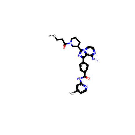 COCCC(=O)N1CCCC(c2nc(-c3ccc(C(=O)Nc4cc(C#N)ccn4)cc3)c3c(N)nccn23)C1